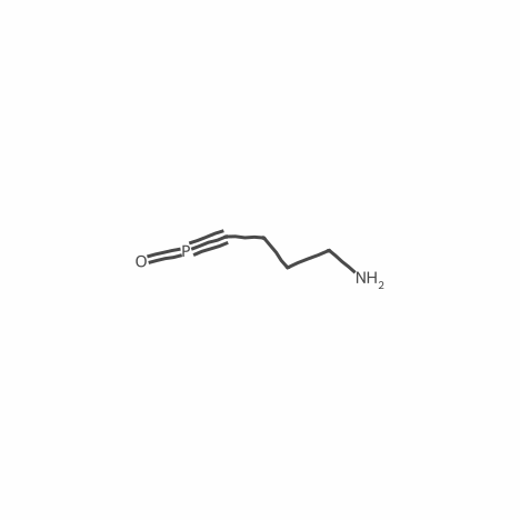 NCCCC#P=O